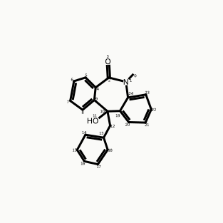 CN1C(=O)c2ccccc2C(O)(Cc2ccccc2)c2ccccc21